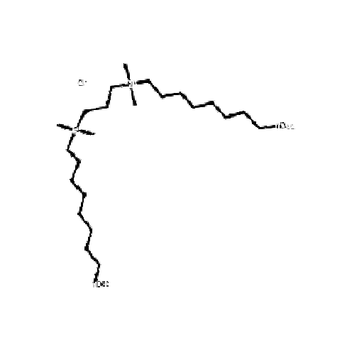 CCCCCCCCCCCCCCCCCC[N+](C)(C)CCC[Si](C)(C)CCCCCCCCCCCCCCCCCC.[Cl-]